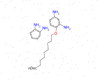 CCCCCCCCCCCCCCCCCCOc1ccc(N)cc1N.Nc1ccccc1N